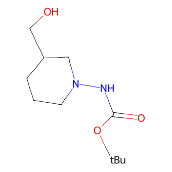 CC(C)(C)OC(=O)NN1CCCC(CO)C1